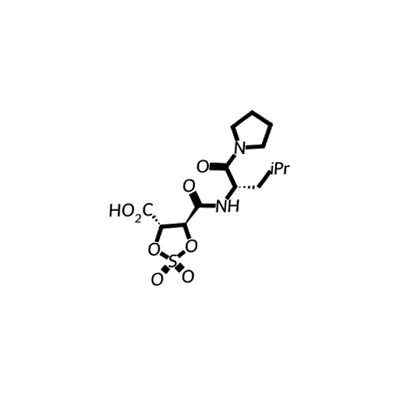 CC(C)C[C@H](NC(=O)[C@H]1OS(=O)(=O)O[C@@H]1C(=O)O)C(=O)N1CCCC1